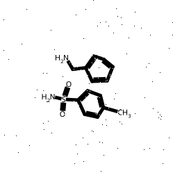 Cc1ccc(S(N)(=O)=O)cc1.NCc1ccccc1